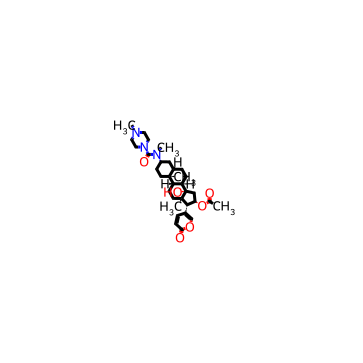 CC(=O)O[C@H]1C[C@]2(O)[C@@H]3CC[C@@H]4C[C@@H](N(C)C(=O)N5CCN(C)CC5)CC[C@]4(C)[C@H]3CC[C@]2(C)[C@H]1c1ccc(=O)oc1